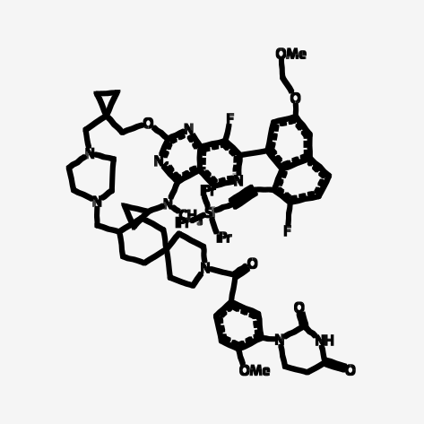 COCOc1cc(-c2ncc3c(N(C)C4CC4)nc(OCC4(CN5CCN(CC6CCC7(CC6)CCN(C(=O)c6ccc(OC)c(N8CCC(=O)NC8=O)c6)CC7)CC5)CC4)nc3c2F)c2c(C#C[Si](C(C)C)(C(C)C)C(C)C)c(F)ccc2c1